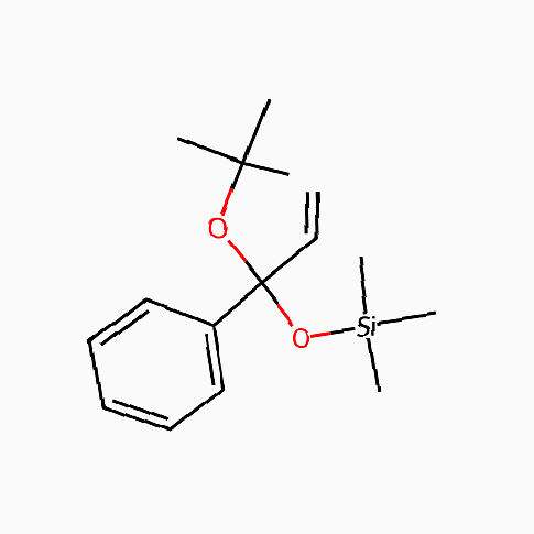 C=CC(OC(C)(C)C)(O[Si](C)(C)C)c1ccccc1